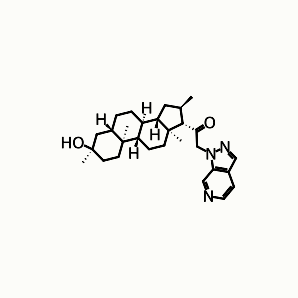 C[C@@H]1C[C@H]2[C@@H]3CC[C@H]4C[C@](C)(O)CC[C@]4(C)[C@H]3CC[C@]2(C)[C@H]1C(=O)Cn1ncc2ccncc21